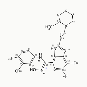 CN1CCCCC1CNc1nc2c(F)c(F)cc(/C(=N/O)Nc3ccc(F)c(Cl)c3)c2[nH]1